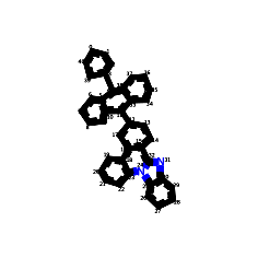 c1ccc(-c2c3ccccc3c(-c3ccc4c(c3)c3ccccc3n3c5ccccc5nc43)c3ccccc23)cc1